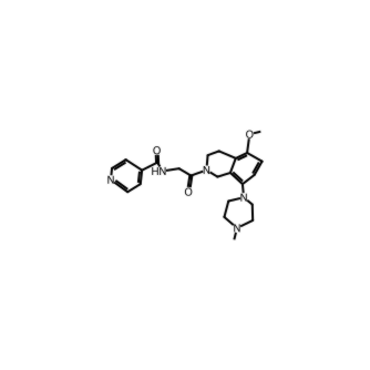 COc1ccc(N2CCN(C)CC2)c2c1CCN(C(=O)CNC(=O)c1ccncc1)C2